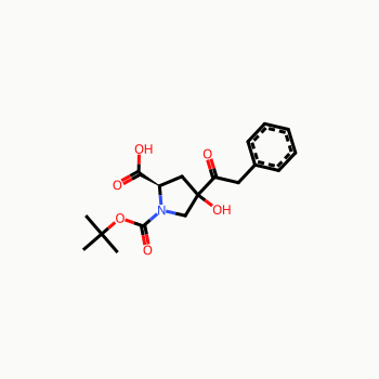 CC(C)(C)OC(=O)N1CC(O)(C(=O)Cc2ccccc2)C[C@@H]1C(=O)O